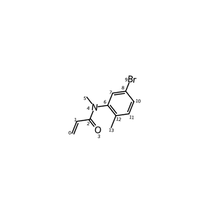 C=CC(=O)N(C)c1cc(Br)ccc1C